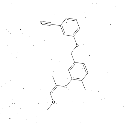 CO/C=C(/C)Oc1cc(COc2cccc(C#N)c2)ccc1C